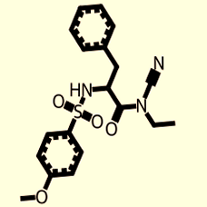 CCN(C#N)C(=O)C(Cc1ccccc1)NS(=O)(=O)c1ccc(OC)cc1